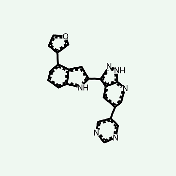 c1cc(-c2ccoc2)c2cc(-c3n[nH]c4ncc(-c5cncnc5)cc34)[nH]c2c1